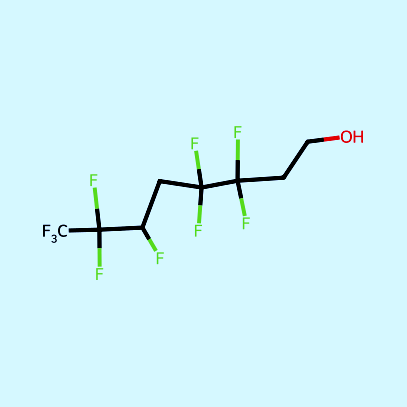 OCCC(F)(F)C(F)(F)CC(F)C(F)(F)C(F)(F)F